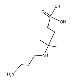 CC(C)(CSP(=O)(O)O)NCCCN